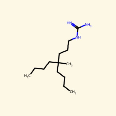 CCCCC(C)(CCCC)CCCNC(=N)N